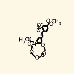 COC(=O)CN1CCOCCOCCOCCOc2cc(/C=C/c3ccc(C(=O)OC)cc3[N+](=O)[O-])ccc21